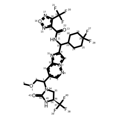 COCC(c1cnn2cc(C(NC(=O)c3nonc3C(F)(F)F)C3CCC(F)(F)CC3)nc2c1)N1C[C@@H](C(F)(F)F)NC1=O